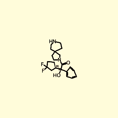 O=C(N1CCC2(CCNCC2)C1)[C@](O)(c1ccccc1)[C@@H]1CCC(F)(F)C1